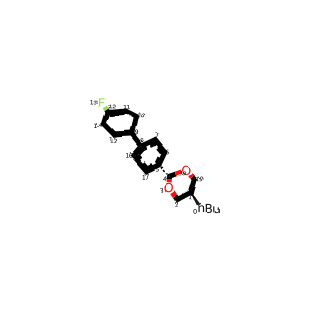 CCCC[C@H]1CO[C@H](c2ccc(C3CC=C(F)CC3)cc2)OC1